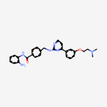 CN(C)CCOc1cccc(-c2ccnc(NCc3ccc(C(=O)Nc4ccccc4N)cc3)n2)c1